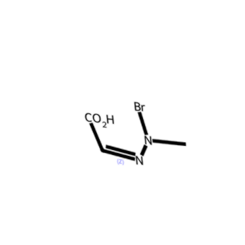 CN(Br)/N=C\C(=O)O